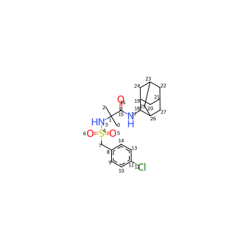 CC(C)(NS(=O)(=O)Cc1ccc(Cl)cc1)C(=O)NC1C2CC3CC(C2)CC1C3